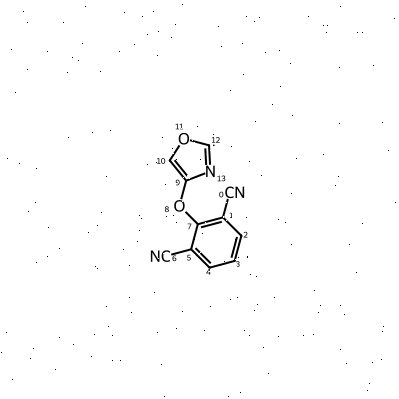 N#Cc1cccc(C#N)c1Oc1co[c]n1